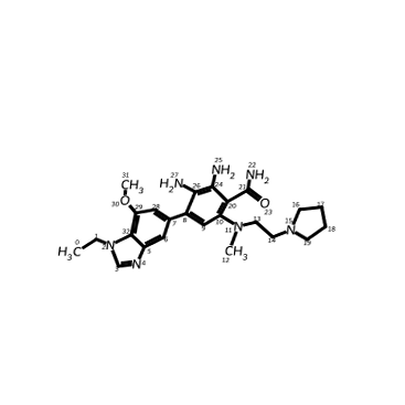 CCn1cnc2cc(-c3cc(N(C)CCN4CCCC4)c(C(N)=O)c(N)c3N)cc(OC)c21